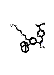 COCCOCOc1ccc(/C(C)=C\c2ccc(C(=O)O)cn2)cc1C12CC3CC(CC(C3)C1)C2